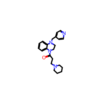 O=C(CCN1CCCCC1)N1CCN(Cc2ccncc2)c2ccccc21